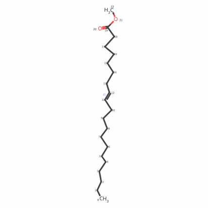 CCCCCCCCCCC/C=C/CCCCCCC(=O)OC